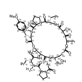 CC[C@H](C)[C@H]1NC(=O)[C@@H](NC(=O)[C@@H](CC(C)C)N(C)C(=O)[C@@H]2CCCN2C(=O)C(C)=O)[C@@H](C)OC(=O)[C@H](Cc2ccc(OC)cc2)N(C)C(=O)[C@@H]2CCCN2C(=O)[C@H](CC(C)C)NC(=O)[C@@H](C)C(=O)C(C(C)C)OC(=O)C[C@@H]1O